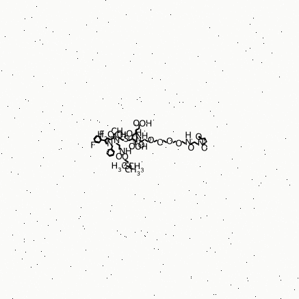 CC(C)(C)[C@H](c1cc(-c2cc(F)ccc2F)cn1Cc1ccccc1)N(CCCNC(=O)OCC[Si](C)(C)C)C(=O)CSCC(C(=O)[C@@H](N)CCC(=O)O)[C@H](NC(=O)CCOCCOCCOCCOCCNC(=O)CCN1C(=O)C=CC1=O)C(=O)O